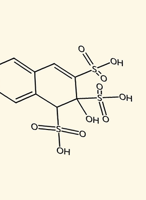 O=S(=O)(O)C1=Cc2ccccc2C(S(=O)(=O)O)C1(O)S(=O)(=O)O